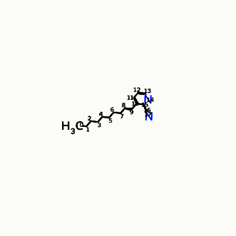 CCCCCCCCC=Cc1cccnc1C#N